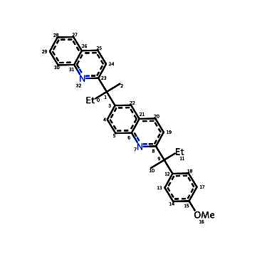 CCC(C)(c1ccc2nc(C(C)(CC)c3ccc(OC)cc3)ccc2c1)c1ccc2ccccc2n1